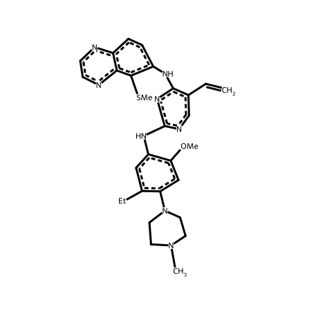 C=Cc1cnc(Nc2cc(CC)c(N3CCN(C)CC3)cc2OC)nc1Nc1ccc2nccnc2c1SC